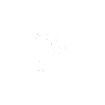 COc1ccc2c(CCCc3ccc([N+](=O)[O-])cc3)c3[n+](cc2c1OC)CCc1cc2c(cc1-3)OCO2.[I-]